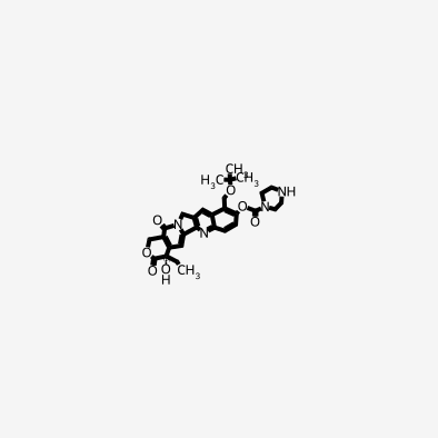 CC[C@@]1(O)C(=O)OCc2c1cc1n(c2=O)Cc2cc3c(COC(C)(C)C)c(OC(=O)N4CCNCC4)ccc3nc2-1